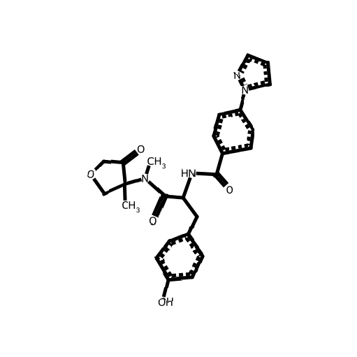 CN(C(=O)C(Cc1ccc(O)cc1)NC(=O)c1ccc(-n2cccn2)cc1)C1(C)COCC1=O